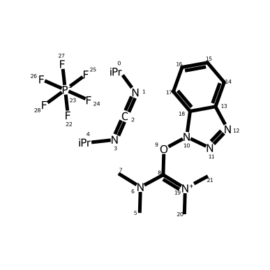 CC(C)N=C=NC(C)C.CN(C)C(On1nnc2ccccc21)=[N+](C)C.F[P-](F)(F)(F)(F)F